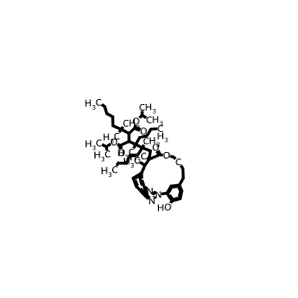 CCCCCC(C)(C)C(C(=O)OC(C)C)C(C(=O)OC(C)C)C(C)(CCCC)C(C)(CCCCC)CC1(C)C(=O)OCCCCc2ccc(O)c(c2)-n2nc3ccc(cc3n2)C1C